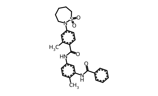 Cc1ccc(NC(=O)c2ccc(N3CCCCCS3(=O)=O)cc2C)cc1NC(=O)c1ccccc1